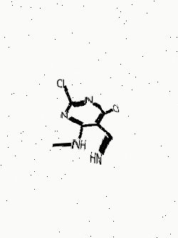 CNc1nc(Cl)nc(Cl)c1C=N